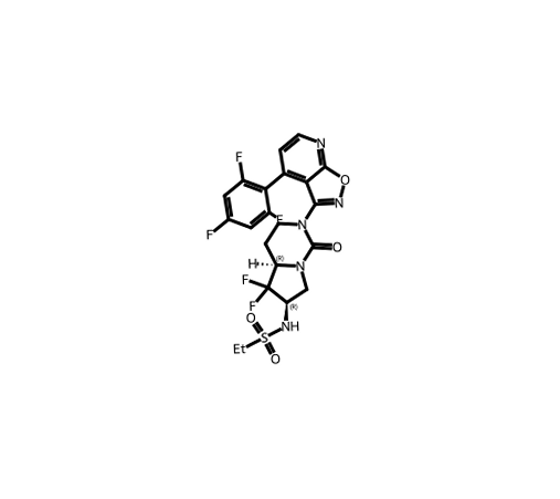 CCS(=O)(=O)N[C@@H]1CN2C(=O)N(c3noc4nccc(-c5c(F)cc(F)cc5F)c34)CC[C@@H]2C1(F)F